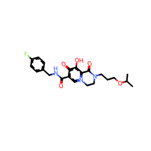 CC(C)OCCCN1CCn2cc(C(=O)NCc3ccc(F)cc3)c(=O)c(O)c2C1=O